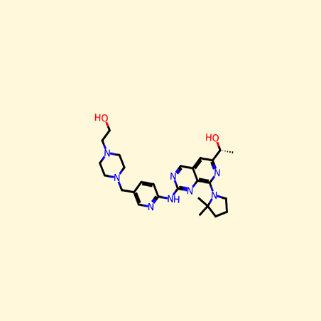 C[C@@H](O)c1cc2cnc(Nc3ccc(CN4CCN(CCO)CC4)cn3)nc2c(N2CCCC2(C)C)n1